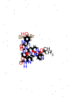 CC(C)(C)OC(=O)N1CCC(C[C@@H](C(=O)N2CCN(c3ccncc3)CC2)N(C(=O)N2CCC3(CC2)OC(=O)Nc2ncccc23)[C@H](Cc2cc(Br)c(O)c(Br)c2)C(N)=O)CC1